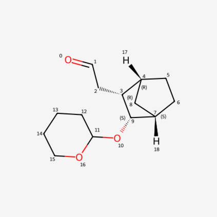 O=CC[C@@H]1[C@@H]2CC[C@@H](C2)[C@@H]1OC1CCCCO1